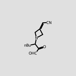 CCCCC(C(=O)C=O)N1CC(=CC#N)C1